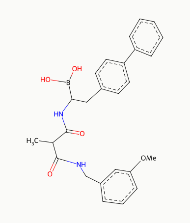 COc1cccc(CNC(=O)C(C)C(=O)NC(Cc2ccc(-c3ccccc3)cc2)B(O)O)c1